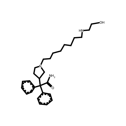 NC(=O)C(c1ccccc1)(c1ccccc1)C1CCN(CCCCCCCCNCCO)C1